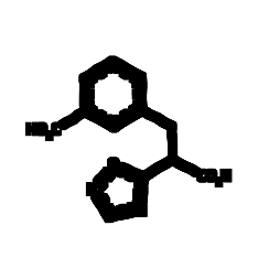 O=C(O)c1cccc(CC(C(=O)O)c2ncno2)c1